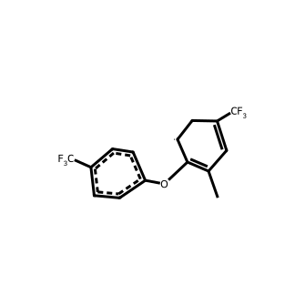 CC1=C(Oc2ccc(C(F)(F)F)cc2)[CH]CC(C(F)(F)F)=C1